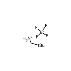 CC(C)(C)C[NH3+].F[B-](F)(F)F